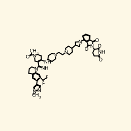 CC(=O)N1CCC(NC2CCN(CCN3CCC(C4CN(c5cccc6c5C(=O)N(C5CCC(=O)NC5=O)C6=O)C4)CC3)CC2)=C(C(=N)N2CCCc3cc(-c4cnn(C)c4)c(C(F)F)cc32)C1